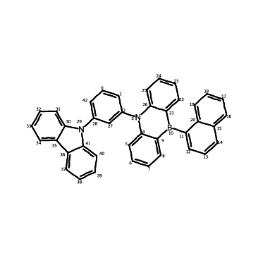 c1cc(N2c3ccccc3B(c3cccc4ccccc34)c3ccccc32)cc(-n2c3ccccc3c3ccccc32)c1